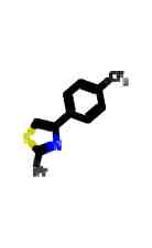 CC(C)c1nc(-c2ccc(C(F)(F)F)cc2)cs1